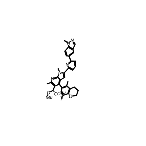 Cc1nc2c(cc(-c3cccc(-c4ccc5c(cnn5C)c4)n3)n2C)c(-c2cc(F)c3c(c2C)CCCO3)c1[C@H](OC(C)(C)C)C(=O)O